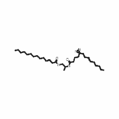 [CH2]C(COC(=O)CCCCCCCCCCCCC)OC(=O)CCCC1(CCCCCCCCC)N=N1